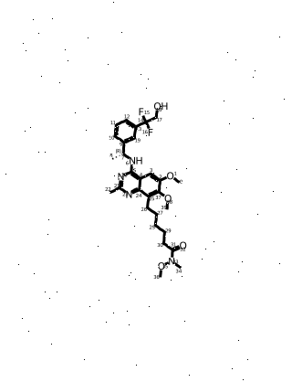 COc1cc2c(N[C@H](C)c3cccc(C(F)(F)CO)c3)nc(C)nc2c(CCCCCC(=O)N(C)OC)c1OC